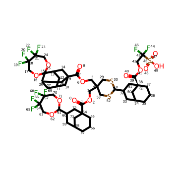 O=C(OCC1(COC(=O)C23CC4CC(C2)C2(OCC(F)(F)C(F)(F)CO2)C(C4)C3)CSC(C2CC3CCC[C@](C(=O)OCC(F)(F)S(=O)(=O)O)(C3)C2)SC1)C12CCCC(CC(C3OCC(F)(F)C(F)(F)CO3)C1)C2